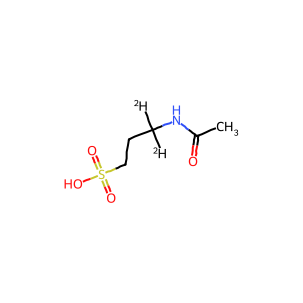 [2H]C([2H])(CCS(=O)(=O)O)NC(C)=O